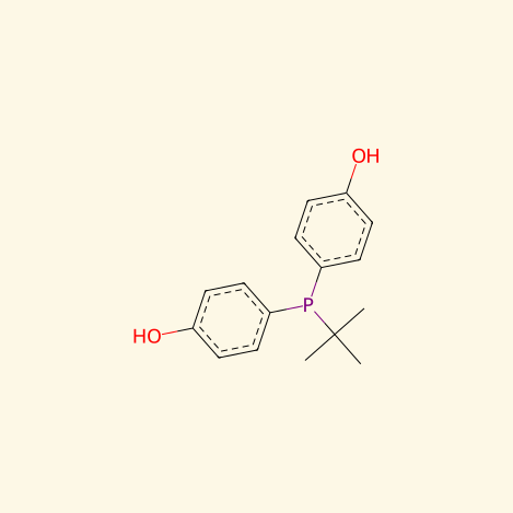 CC(C)(C)P(c1ccc(O)cc1)c1ccc(O)cc1